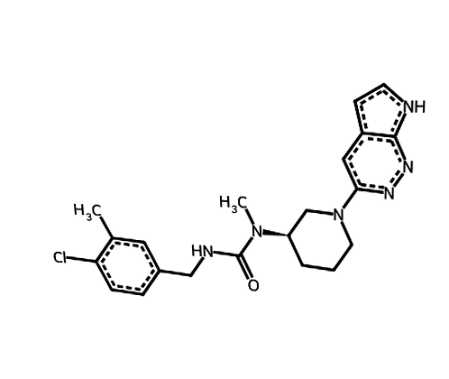 Cc1cc(CNC(=O)N(C)[C@@H]2CCCN(c3cc4cc[nH]c4nn3)C2)ccc1Cl